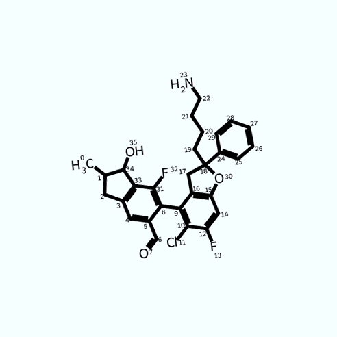 CC1Cc2cc(C=O)c(-c3c(Cl)c(F)cc4c3CC(CCCCN)(c3ccccc3)O4)c(F)c2C1O